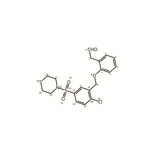 O=CCc1ccccc1OCc1cc(S(=O)(=O)N2CCSCC2)ccc1Cl